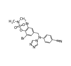 CN(C)S(=O)(=O)Oc1c(Br)cc(CN(c2ccc(C#N)cc2)n2cnnc2)cc1Br